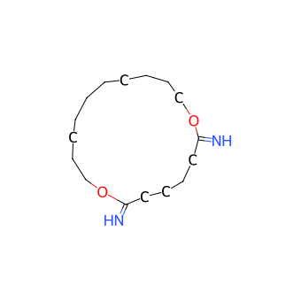 N=C1CCCCC(=N)OCCCCCCCCCCO1